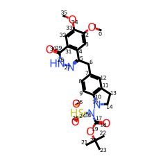 COc1cc2c(Cc3ccc4c(c3)CCN4N(C(=O)OC(C)(C)C)[SH](=O)=O)n[nH]c(=O)c2cc1OC